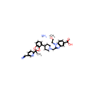 COCCn1c(CN2CCC(c3cccc4c3OC(C)(c3ccc(C#N)cn3)O4)CC2)nc2cc(C(=O)O)ccc21.N